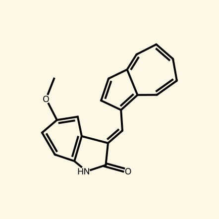 COc1ccc2c(c1)/C(=C\c1ccc3cccccc1-3)C(=O)N2